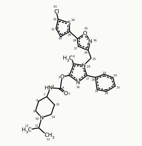 Cc1c(OC(=O)NC2CCN(C(C)C)CC2)nc(-c2ccccc2)n1Cc1cc(-c2ccc(Cl)s2)on1